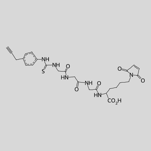 C#CCc1ccc(NC(=S)NCC(=O)NCC(=O)NCC(=O)NC(CCCCN2C(=O)C=CC2=O)C(=O)O)cc1